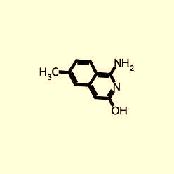 Cc1ccc2c(N)nc(O)cc2c1